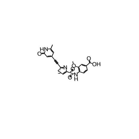 COc1cc(C(=O)O)ccc1NS(=O)(=O)c1csc(C#Cc2cc(C)[nH]c(=O)c2)n1